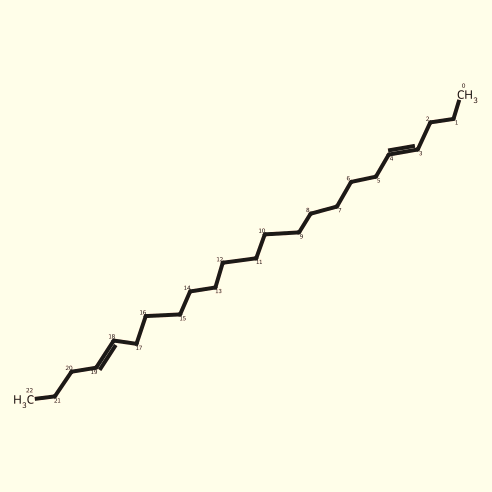 CCC/C=C/CCCCCCCCCCCCC/C=C/CCC